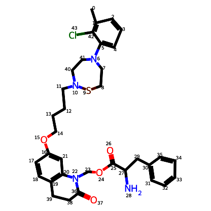 Cc1cccc(N2CCSN(CCCCOc3ccc4c(c3)N(COC(=O)C(N)Cc3ccccc3)C(=O)CC4)CC2)c1Cl